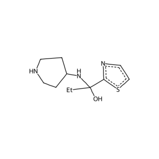 CCC(O)(NC1CCNCC1)c1nccs1